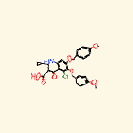 COc1ccc(COc2cc3c(c(Cl)c2OCc2ccc(OC)cc2)C(=O)C(C(=O)O)C(C2CC2)N3)cc1